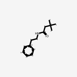 CC(C)(C)CC(=O)NCCc1ccccc1